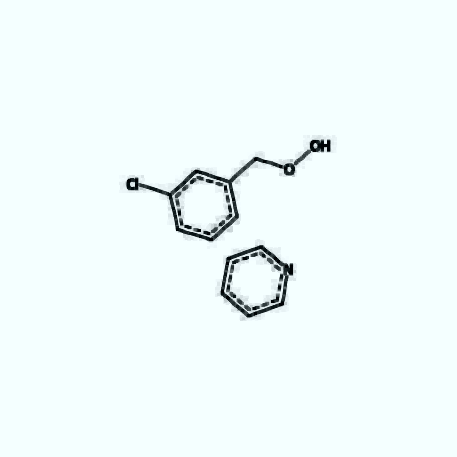 OOCc1cccc(Cl)c1.c1ccncc1